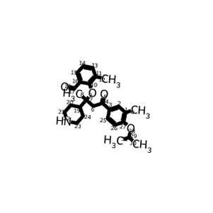 Cc1cc(C(=O)CC(C)(Oc2c(C)cccc2[C]=O)C2CCNCC2)ccc1OC(C)C